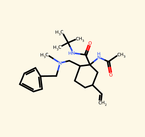 C=CC1CCC(CN(C)Cc2ccccc2)C(NC(C)=O)(C(=O)NC(C)(C)C)C1